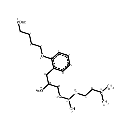 CCCCCCCCCCCCCCOc1ccccc1CC(COP(O)OCCN(C)C)OC(C)=O